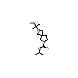 CCC(C)(C)N1CC2(CCN(C(=O)OC(C)C)C2)C1